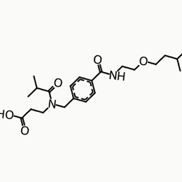 CC(C)CCOCCNC(=O)c1ccc(CN(CCC(=O)O)C(=O)C(C)C)cc1